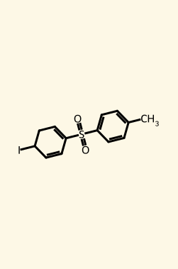 Cc1ccc(S(=O)(=O)C2=CCC(I)C=C2)cc1